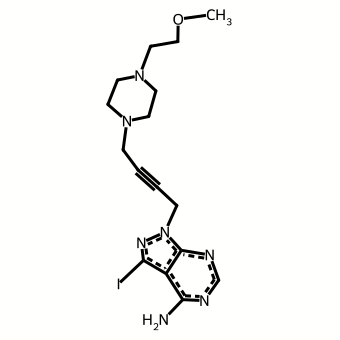 COCCN1CCN(CC#CCn2nc(I)c3c(N)ncnc32)CC1